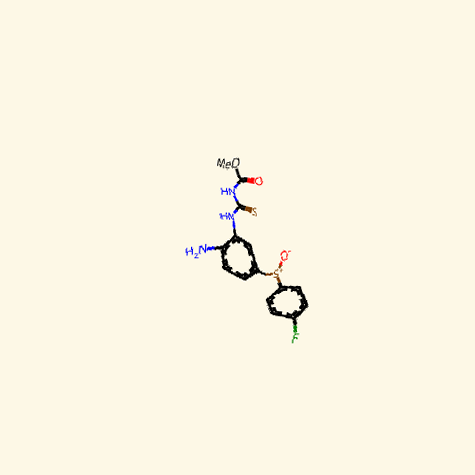 COC(=O)NC(=S)Nc1cc([S+]([O-])c2ccc(F)cc2)ccc1N